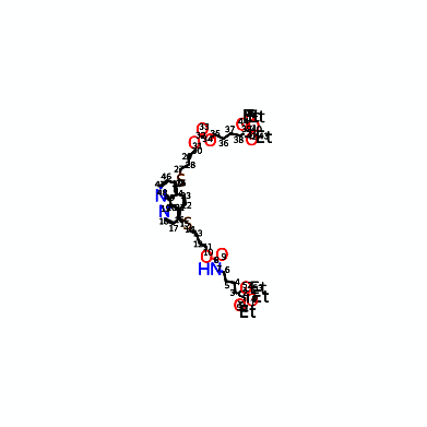 CCO[Si](CCCCNC(=O)OCCCCSc1ccnc2c1ccc1c(SCCCCOC(=O)OCCCC[Si](OCC)(OCC)OCC)ccnc12)(OCC)OCC